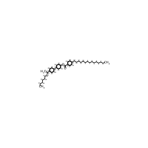 CCCCCCCCCCCCCCCc1ccc(C(=O)Oc2ccc(-c3ccc(C(C)OCCCCCC)cc3)cc2)cc1